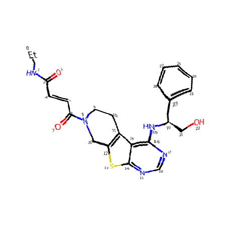 CCNC(=O)/C=C/C(=O)N1CCc2c(sc3ncnc(N[C@H](CO)c4ccccc4)c23)C1